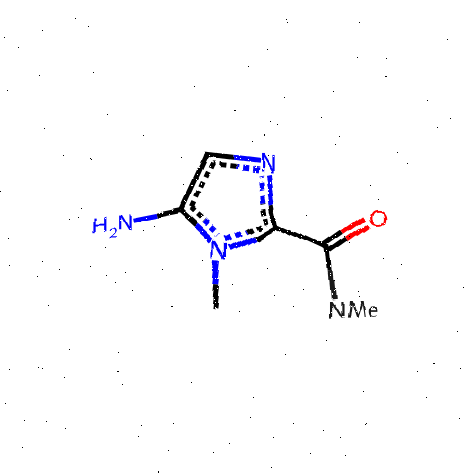 CNC(=O)c1ncc(N)n1C